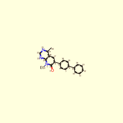 CCn1c(=O)c(-c2ccc(-c3ccccc3)cc2)cc2c(C)ncnc21